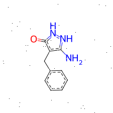 Nc1[nH][nH]c(=O)c1Cc1ccccc1